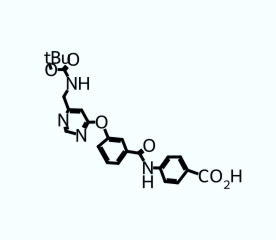 CC(C)(C)OC(=O)NCc1cc(Oc2cccc(C(=O)Nc3ccc(C(=O)O)cc3)c2)ncn1